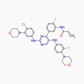 C=CC(=O)Nc1cc(-c2nc(Nc3ccc(Cl)c(N4CCOCC4)c3)ncc2Nc2ccc(N3CCOCC3)c(F)c2)ccc1F